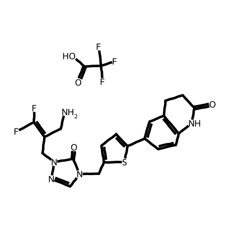 NCC(Cn1ncn(Cc2ccc(-c3ccc4c(c3)CCC(=O)N4)s2)c1=O)=C(F)F.O=C(O)C(F)(F)F